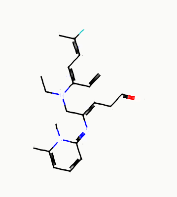 C=C/C(=C\C=C(/C)F)N(CC)CC(=C/CC=O)/N=c1/cccc(C)n1C